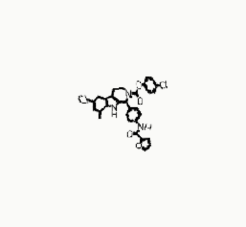 CC1C=C(Cl)C=C2C3=C(NC21)C(c1ccc(NC(=O)c2ccco2)cc1)N(C(=O)Oc1ccc(Cl)cc1)CC3